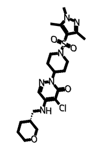 Cc1nn(C)c(C)c1S(=O)(=O)N1CCC(n2ncc(NC[C@H]3CCCOC3)c(Cl)c2=O)CC1